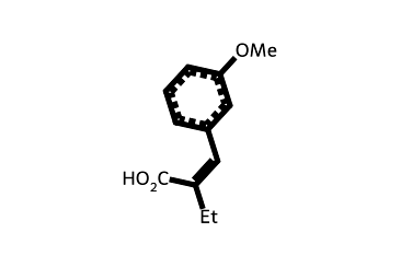 CCC(=Cc1cccc(OC)c1)C(=O)O